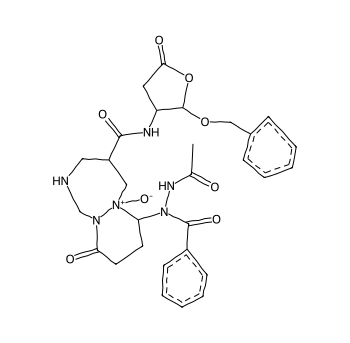 CC(=O)NN(C(=O)c1ccccc1)C1CCC(=O)N2CNCC(C(=O)NC3CC(=O)OC3OCc3ccccc3)C[N+]12[O-]